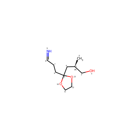 C[C@@H](CO)CC1(CCC=N)OCCO1